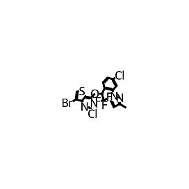 Cc1ccn(-c2cc(Cl)ccc2C(Oc2nc(Cl)nc3c(Br)csc23)C(F)(F)F)n1